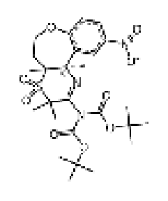 CC(C)(C)OC(=O)N(C(=O)OC(C)(C)C)C1=N[C@]2(C)c3cc([N+](=O)[O-])ccc3OCCC2(C)S(=O)(=O)C1(C)C